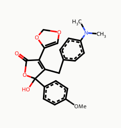 COc1ccc(C2(O)OC(=O)C(C3=COCO3)=C2Cc2ccc(N(C)C)cc2)cc1